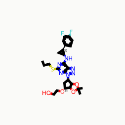 CCCSc1nc(NC2C[C@H]2c2ccc(F)c(F)c2)c2nnn(C3C[C@H](OCCO)C4OC(C)(C)OC43)c2n1